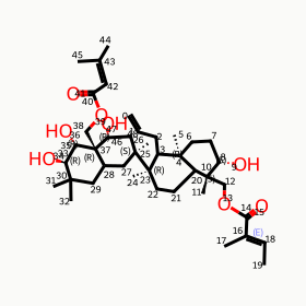 C=CCC1[C@@]2(C)CC[C@H](O)[C@](C)(COC(=O)/C(C)=C/C)C2CC[C@@]1(C)[C@@]1(C)CC2CC(C)(C)[C@@H](O)[C@H](O)[C@]2(COC(=O)C=C(C)C)[C@H](O)C1